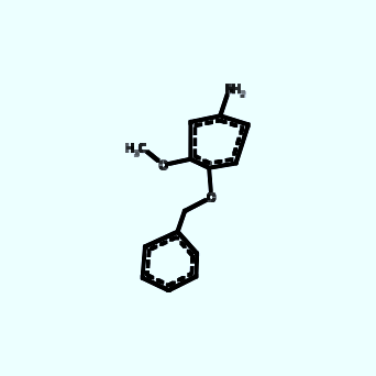 Bc1ccc(OCc2ccccc2)c(OC)c1